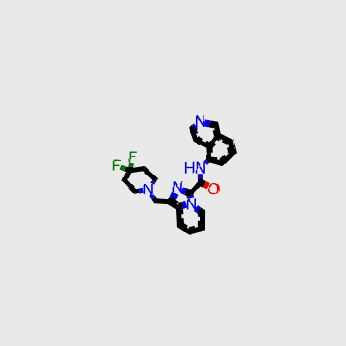 O=C(Nc1cccc2cnccc12)c1nc(CN2CCC(F)(F)CC2)c2ccccn12